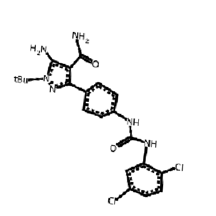 CC(C)(C)n1nc(-c2ccc(NC(=O)Nc3cc(Cl)ccc3Cl)cc2)c(C(N)=O)c1N